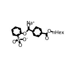 CCCCCCOC(=O)c1ccc(C(=O)Oc2ccccc2S(=O)(=O)[O-])cc1.[Na+]